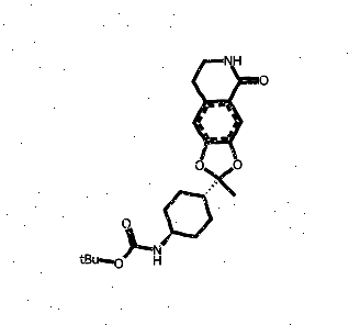 CC(C)(C)OC(=O)N[C@H]1CC[C@H](C2(C)Oc3cc4c(cc3O2)C(=O)NCC4)CC1